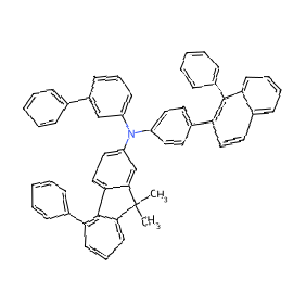 CC1(C)c2cc(N(c3ccc(-c4ccc5ccccc5c4-c4ccccc4)cc3)c3cccc(-c4ccccc4)c3)ccc2-c2c(-c3ccccc3)cccc21